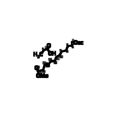 CCC(=O)O.CCCCCCCCCCCCCCCCC=CN=CCC(=O)OC